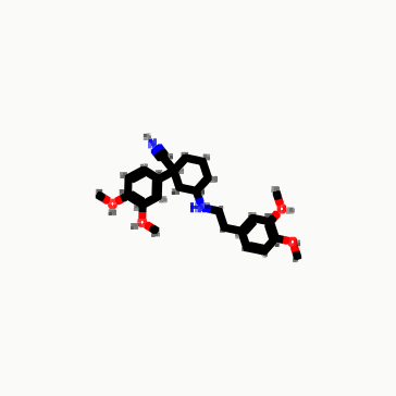 COc1ccc(CCNC2CCCC(C#N)(c3ccc(OC)c(OC)c3)C2)cc1OC